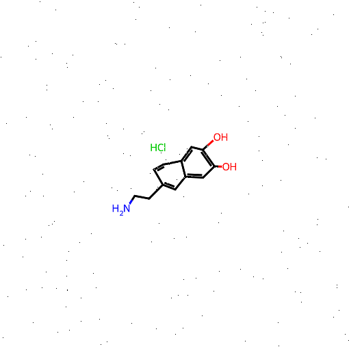 Cl.NCCc1ccc2cc(O)c(O)cc2c1